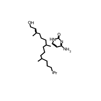 C/C(=C\CO)CCCC(C)CCCC(C)CCCC(C)C.Nc1cc[nH]c(=O)n1